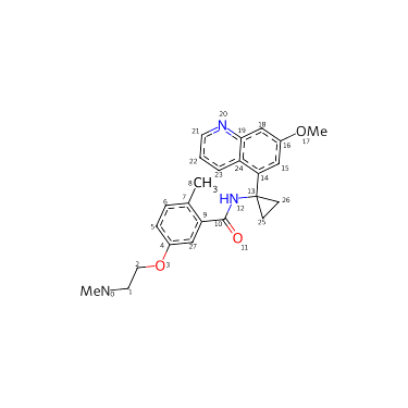 CNCCOc1ccc(C)c(C(=O)NC2(c3cc(OC)cc4ncccc34)CC2)c1